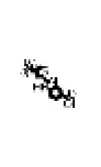 O=C(O)c1ccc2[nH]c(-c3cc([N+](=O)[O-])cs3)nc2c1